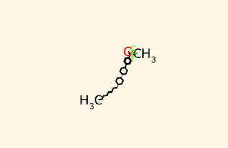 CCCC/C=C/CC[C@H]1CC[C@H](C2CCC(c3ccc(C(=O)C(C)(F)F)cc3)CC2)CC1